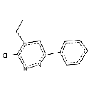 CCc1cc(-c2ccccc2)nnc1Cl